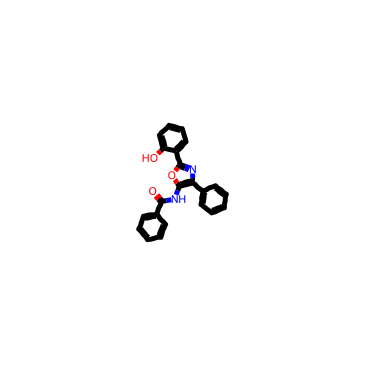 O=C(Nc1oc(-c2ccccc2O)nc1-c1ccccc1)c1ccccc1